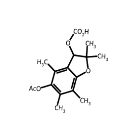 CC(=O)Oc1c(C)c(C)c2c(c1C)C(OC(=O)O)C(C)(C)O2